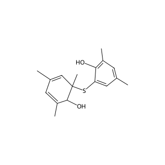 CC1=CC(C)(Sc2cc(C)cc(C)c2O)C(O)C(C)=C1